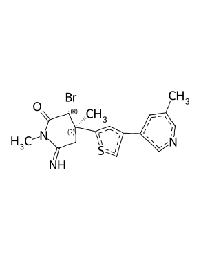 Cc1cncc(-c2csc([C@@]3(C)CC(=N)N(C)C(=O)[C@@H]3Br)c2)c1